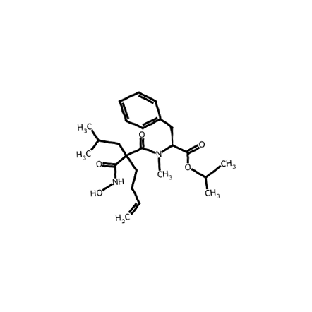 C=CCCC(CC(C)C)(C(=O)NO)C(=O)N(C)[C@@H](Cc1ccccc1)C(=O)OC(C)C